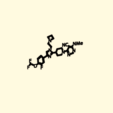 CNc1ncnc(N2CCC(c3nc(-c4ccc(OC(F)F)c(F)c4)cn3CCN3CCC3)CC2)c1C#N